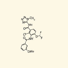 COc1cccc(C(=O)Nc2c(OC(F)F)ccc(C(=O)Nc3nnnn3C)c2Cl)c1